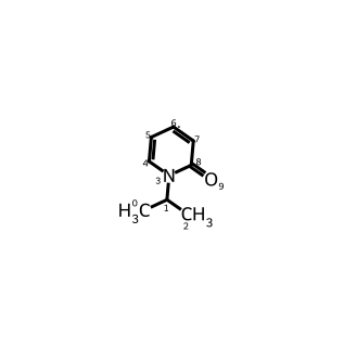 CC(C)n1cc[c]cc1=O